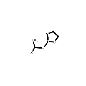 CC(C)OP1OCCO1